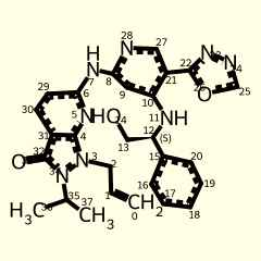 C=CCn1c2nc(Nc3cc(N[C@H](CO)c4ccccc4)c(-c4nnco4)cn3)ccc2c(=O)n1C(C)C